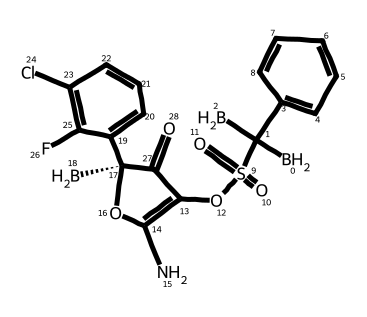 BC(B)(c1ccccc1)S(=O)(=O)OC1=C(N)O[C@@](B)(c2cccc(Cl)c2F)C1=O